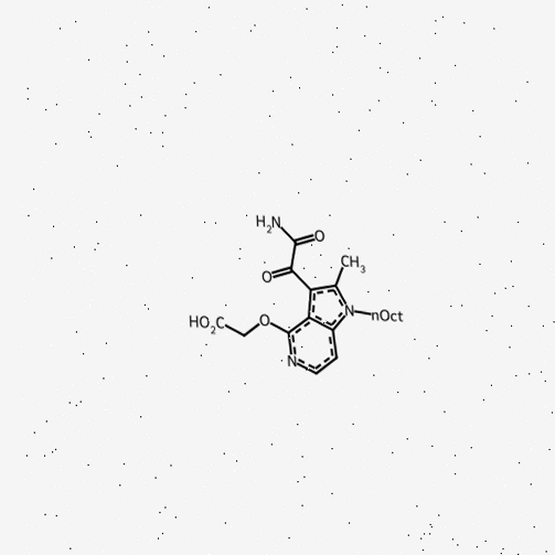 CCCCCCCCn1c(C)c(C(=O)C(N)=O)c2c(OCC(=O)O)nccc21